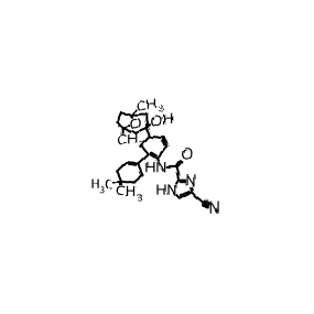 CC1(C)CC=C(C2=C(NC(=O)c3nc(C#N)c[nH]3)C=CC(C3(O)CC4(C)CCC(C)(C3)O4)C2)CC1